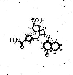 NC(=O)c1cc(CC2C(Oc3ccc(Cl)c4ccccc34)CC23CCN(C(=O)O)C3)on1